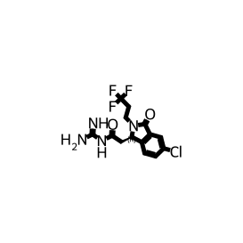 N=C(N)NC(=O)C[C@@H]1c2ccc(Cl)cc2C(=O)N1CCC(F)(F)F